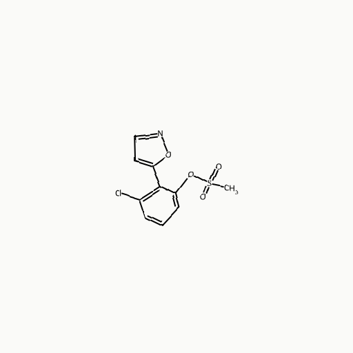 CS(=O)(=O)Oc1cccc(Cl)c1-c1ccno1